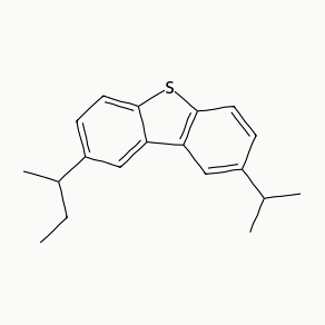 CCC(C)c1ccc2sc3ccc(C(C)C)cc3c2c1